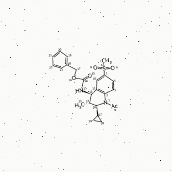 CC(=O)N1c2ccc(S(C)(=O)=O)cc2[C@H](NC(=O)OCc2ccccc2)[C@@H](C)[C@@H]1C1CC1